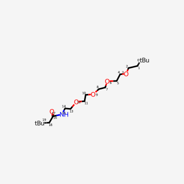 CC(C)(C)CCOCCOCCOCCOCCNC(=O)CC(C)(C)C